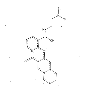 CCN(CC)CCNC(O)c1cccn2c(=O)c3cc4ccccc4cc3nc12